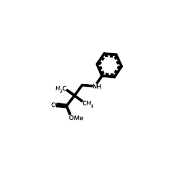 COC(=O)C(C)(C)CNc1ccccc1